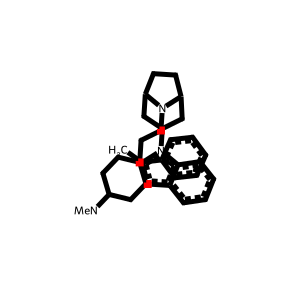 CNC1CCC(CCN2C3CCC2CC(n2c(C)nc4ccccc42)C3)(c2ccccc2)CC1